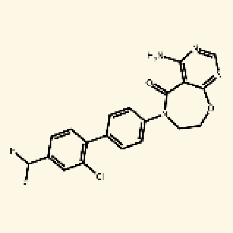 Nc1ncnc2c1C(=O)N(c1ccc(-c3ccc(C(F)F)cc3Cl)cc1)CCO2